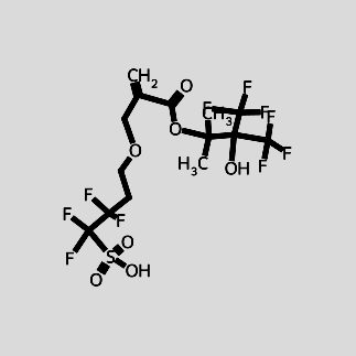 C=C(COCCC(F)(F)C(F)(F)S(=O)(=O)O)C(=O)OC(C)(C)C(O)(C(F)(F)F)C(F)(F)F